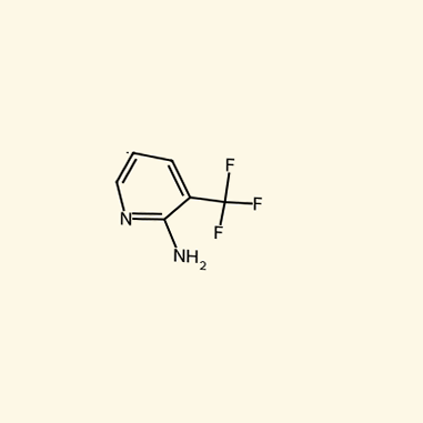 Nc1nc[c]cc1C(F)(F)F